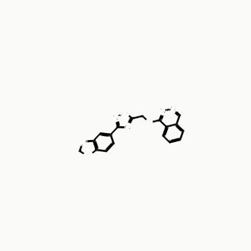 c1ccc2c(SCc3nc(-c4ccc5c(c4)OCO5)no3)nncc2c1